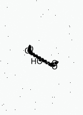 CCOC(=O)C(C)(C)CCCCCCC(O)CCCCCCC(C)(C)C(=O)OCC